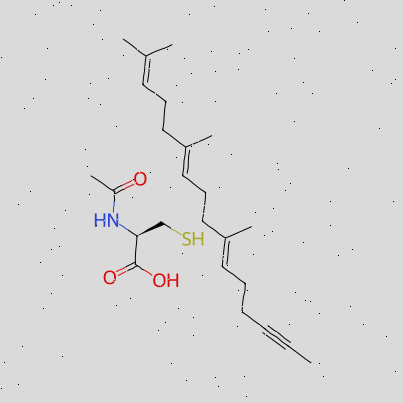 CC#CCC/C=C(\C)CC/C=C(\C)CCC=C(C)C.CC(=O)N[C@@H](CS)C(=O)O